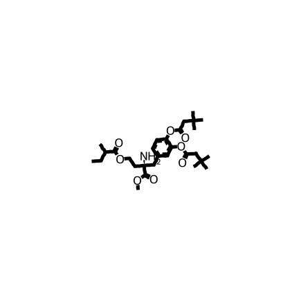 CCC(C)C(=O)OCC[C@@](N)(Cc1ccc(OC(=O)CC(C)(C)C)c(OC(=O)CC(C)(C)C)c1)C(=O)OC